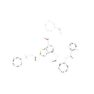 CC(C)[C@@H]1CC[C@@H](C)C[C@H]1OC(=O)n1nc(NC(=O)c2ccccc2NC(=O)c2nccn2C)c2cc(C(=O)NC(C)(C)c3ccccc3)sc21